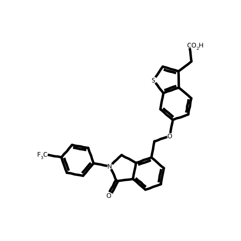 O=C(O)Cc1csc2cc(OCc3cccc4c3CN(c3ccc(C(F)(F)F)cc3)C4=O)ccc12